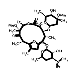 CC[C@H]1OC(=O)[C@H](C)[C@@H](O[C@H]2C[C@@](C)(OC)[C@@H](O)[C@H](C)O2)[C@H](C)[C@@H](O[C@@H]2O[C@H](C)C[C@H](N(C)C(C)C)[C@H]2O)[C@@]2(C)CC(C)=C(O2)[C@H](C)C(=O)[C@]1(C)OC